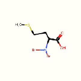 CSCCC(C(=O)O)N(Br)Br